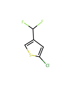 FC(F)c1csc(Cl)c1